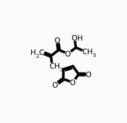 C=C(C)C(=O)OC(C)O.O=C1C=CC(=O)O1